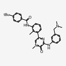 Cc1c(NC(=O)c2ccc(C(C)(C)C)cc2)cccc1-c1cn(C)c(=O)c(Nc2cccc(CN(C)C)c2)n1